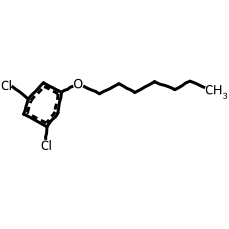 CCCCCCCOc1cc(Cl)cc(Cl)c1